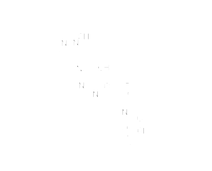 Cc1c(O[C@H]2CCN(C(=O)OC3(C)CC3)C[C@H]2F)ncnc1N1Cc2cnn(C)c2C1